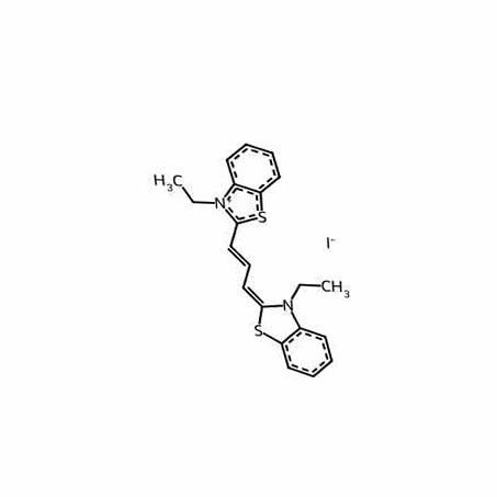 CCN1C(=CC=Cc2sc3ccccc3[n+]2CC)Sc2ccccc21.[I-]